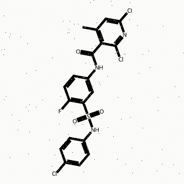 Cc1cc(Cl)nc(Cl)c1C(=O)Nc1ccc(F)c(S(=O)(=O)Nc2ccc(Cl)cc2)c1